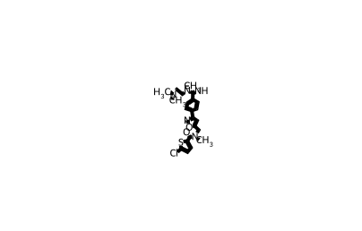 CN(C)CCN(C)C(=N)c1ccc(-c2cc(CN(C)C(=O)c3ccc(Cl)s3)on2)cc1